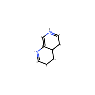 C1=NC2=C[N+]=CCC2CC1